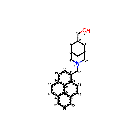 OCC1CC2CC(C1)CN(Cc1ccc3ccc4cccc5ccc1c3c45)C2